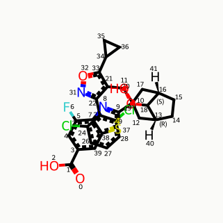 O=C(O)c1cc(F)c2nc(C3(O)C[C@H]4CC[C@@H](C3)C4OCc3c(-c4c(Cl)cccc4Cl)noc3C3CC3)sc2c1